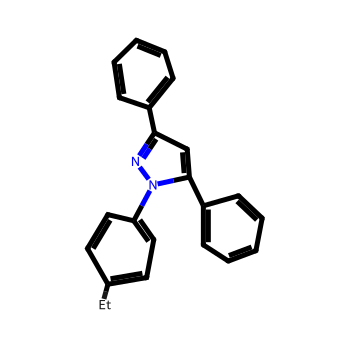 [CH2]Cc1ccc(-n2nc(-c3ccccc3)cc2-c2ccccc2)cc1